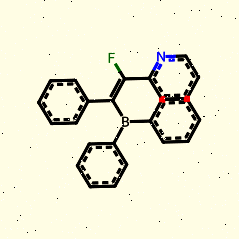 F/C(=C(/B(c1ccccc1)c1ccccc1)c1ccccc1)c1ccccn1